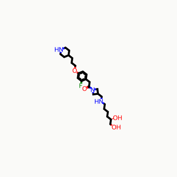 O=C(Cc1ccc(OCCCC2CCNCC2)cc1F)N1CC(CNCCCC[C@H](O)CO)C1